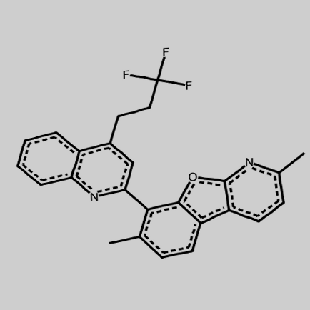 Cc1ccc2c(n1)oc1c(-c3cc(CCC(F)(F)F)c4ccccc4n3)c(C)ccc12